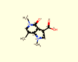 Cc1cn(C)c(=O)c2c(C(=O)O)cn(C)c12